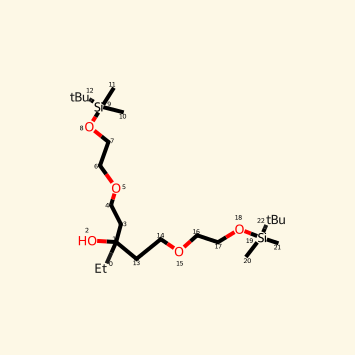 CCC(O)(CCOCCO[Si](C)(C)C(C)(C)C)CCOCCO[Si](C)(C)C(C)(C)C